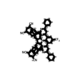 N#Cc1cc(C#N)cc(-c2ccc3c(c2)c2cc(-c4cc(C#N)cc(C#N)c4)ccc2n3-c2c(-c3cc(-c4ccccc4)nc(-c4ccccc4)n3)cc(C(F)(F)F)cc2-c2cc(-c3ccccc3)nc(-c3ccccc3)n2)c1